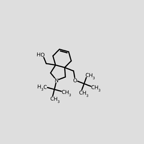 CC(C)(C)OCC12CC=CCC1(CO)CN(C(C)(C)C)C2